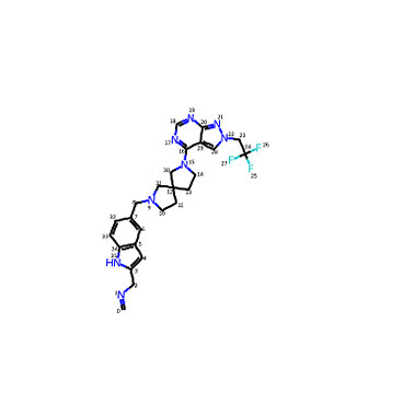 C=NCc1cc2cc(CN3CCC4(CCN(c5ncnc6nn(CC(F)(F)F)cc56)C4)C3)ccc2[nH]1